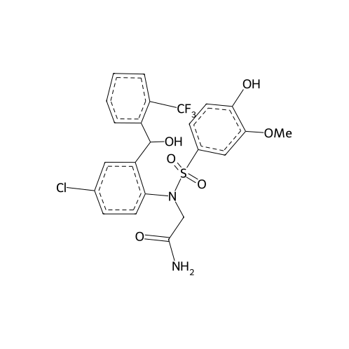 COc1cc(S(=O)(=O)N(CC(N)=O)c2ccc(Cl)cc2C(O)c2ccccc2C(F)(F)F)ccc1O